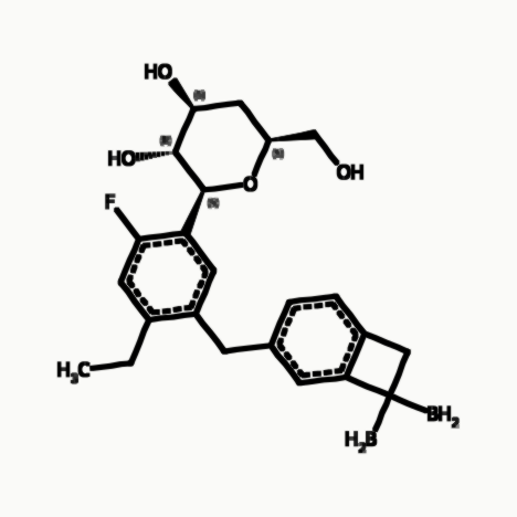 BC1(B)Cc2ccc(Cc3cc([C@@H]4O[C@H](CO)C[C@H](O)[C@H]4O)c(F)cc3CC)cc21